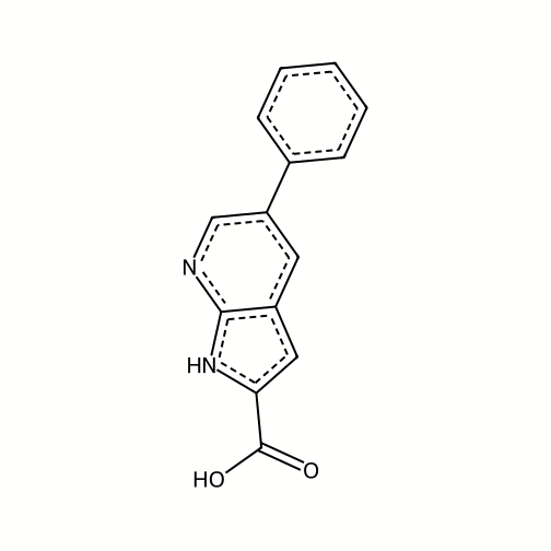 O=C(O)c1cc2cc(-c3ccccc3)cnc2[nH]1